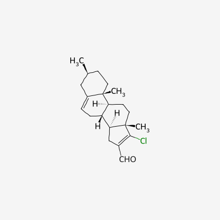 C[C@H]1CC[C@@]2(C)C(=CC[C@@H]3[C@@H]2CC[C@]2(C)C(Cl)=C(C=O)C[C@@H]32)C1